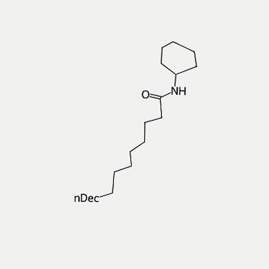 CCCCCCCCCCCCCCCCCC(=O)NC1CCCCC1